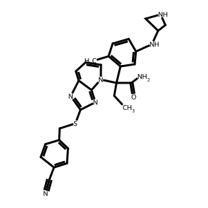 CCC(C(N)=O)(c1cc(NC2CNC2)ccc1C)n1cccc2nc(SCc3ccc(C#N)cc3)nc1-2